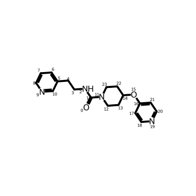 O=C(NCCc1cccnc1)N1CCC(Oc2ccncc2)CC1